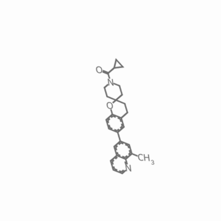 Cc1cc(-c2ccc3c(c2)CCC2(CCN(C(=O)C4CC4)CC2)O3)cc2cccnc12